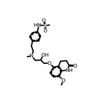 COc1ccc(OCC(O)CN(C)CCc2ccc(NS(C)(=O)=O)cc2)c2c1NC(=O)CC2